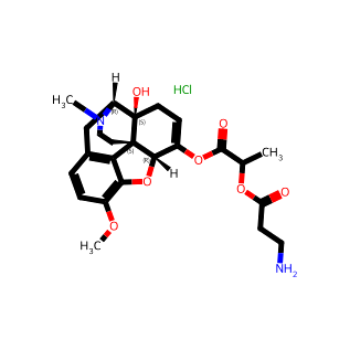 COc1ccc2c3c1O[C@H]1C(OC(=O)C(C)OC(=O)CCN)=CC[C@@]4(O)[C@@H](C2)N(C)CC[C@]314.Cl